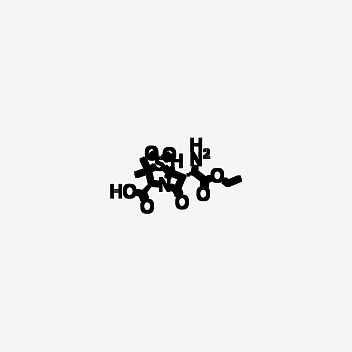 CCOC(=O)C(N)[C@@H]1C(=O)N2[C@@H](C(=O)O)C(C)(C)S(=O)(=O)[C@H]12